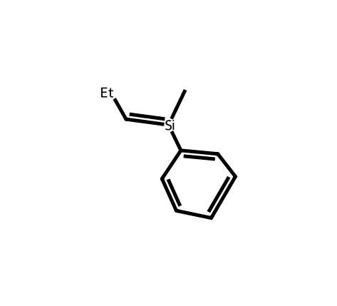 CCC=[Si](C)c1ccccc1